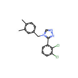 Cc1ccc(Cn2cnnc2-c2cccc(Cl)c2Cl)cc1C